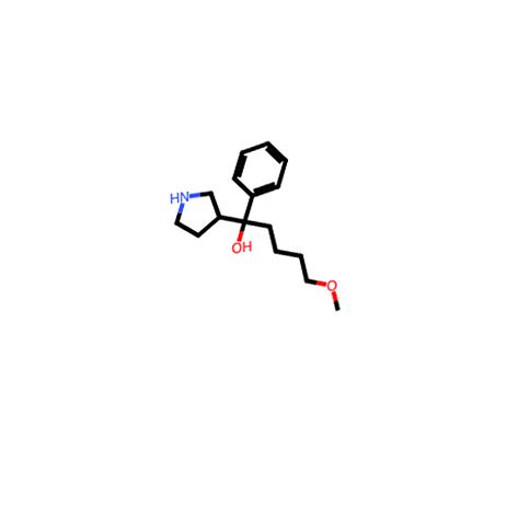 COCCCCC(O)(c1ccccc1)C1CCNC1